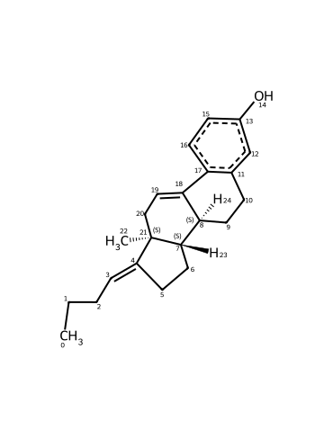 CCCC=C1CC[C@H]2[C@@H]3CCc4cc(O)ccc4C3=CC[C@]12C